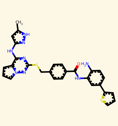 Cc1cc(Nc2nc(SCc3ccc(C(=O)Nc4cc(-c5cccs5)ccc4N)cc3)nn3cccc23)n[nH]1